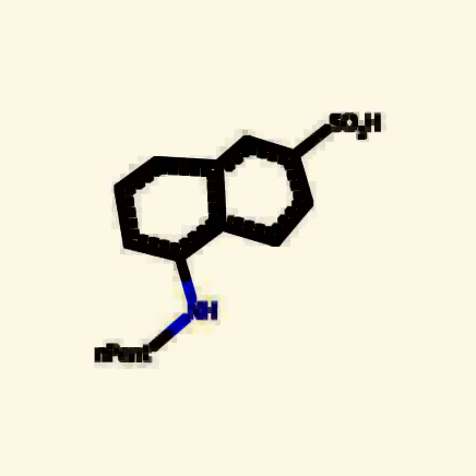 CCCCCNc1cccc2cc(S(=O)(=O)O)ccc12